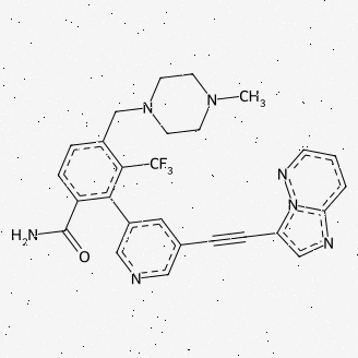 CN1CCN(Cc2ccc(C(N)=O)c(-c3cncc(C#Cc4cnc5cccnn45)c3)c2C(F)(F)F)CC1